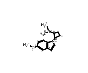 COc1ccc2c(ccn2C2CCC2N(C)C)c1